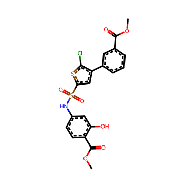 COC(=O)c1cccc(-c2cc(S(=O)(=O)Nc3ccc(C(=O)OC)c(O)c3)sc2Cl)c1